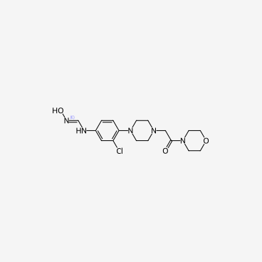 O=C(CN1CCN(c2ccc(N/C=N/O)cc2Cl)CC1)N1CCOCC1